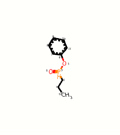 CCC[PH](=O)Oc1ccccc1